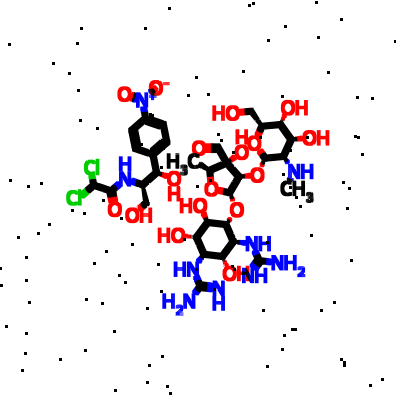 CN[C@@H]1[C@H](O[C@H]2[C@H](O[C@H]3[C@H](O)[C@@H](O)[C@H](NC(=N)N)[C@@H](O)[C@@H]3NC(=N)N)O[C@@H](C)[C@]2(O)C=O)O[C@@H](CO)[C@H](O)[C@H]1O.O=C(N[C@H](CO)[C@H](O)c1ccc([N+](=O)[O-])cc1)C(Cl)Cl